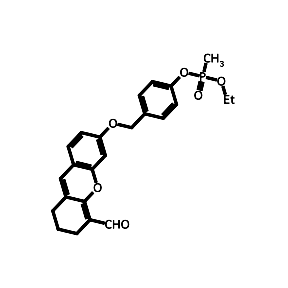 CCOP(C)(=O)Oc1ccc(COc2ccc3c(c2)OC2=C(C=O)CCCC2=C3)cc1